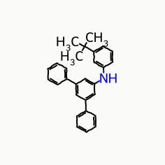 CC(C)(C)c1cccc(Nc2cc(-c3ccccc3)cc(-c3ccccc3)c2)c1